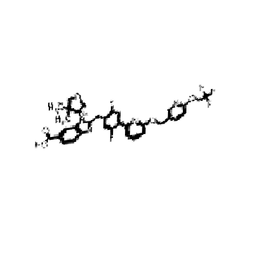 CC1(C)COC[C@H]1n1c(Cc2cc(F)c(-c3cccc(OCc4ccc(OCC(F)(F)F)nc4)n3)cc2F)nc2ccc(C(=O)O)cc21